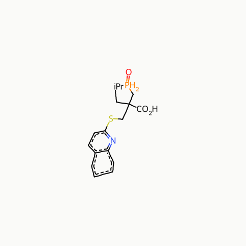 CC(C)CC(C[PH2]=O)(CSc1ccc2ccccc2n1)C(=O)O